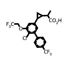 CC(C(=O)O)C1CC1c1cc(OCC(F)(F)F)c(Cl)c(-c2ccc(C(F)(F)F)cc2)c1